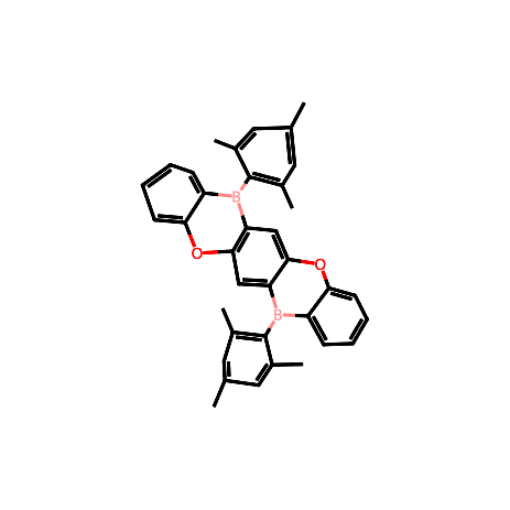 Cc1cc(C)c(B2c3ccccc3Oc3cc4c(cc32)Oc2ccccc2B4c2c(C)cc(C)cc2C)c(C)c1